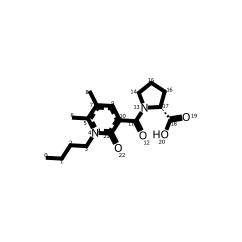 CCCCn1c(C)c(C)cc(C(=O)N2CCC[C@@H]2C(=O)O)c1=O